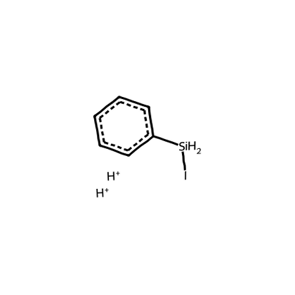 I[SiH2]c1ccccc1.[H+].[H+]